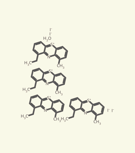 CCc1cccc2[s+]c3cccc(C)c3nc12.CCc1cccc2[s+]c3cccc(C)c3nc12.CCc1cccc2[s+]c3cccc(C)c3nc12.CCc1cccc2[s+]c3cccc(C)c3nc12.O.[I-].[I-].[I-].[I-]